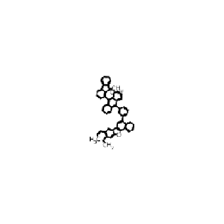 C=Cc1cc2oc3c4ccccc4c(-c4cccc(-c5c6ccccc6c(-c6cccc7c6C(C)(C)c6ccccc6-7)c6ccccc56)c4)cc3c2cc1/C=C\C